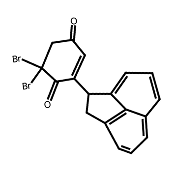 O=C1C=C(C2Cc3cccc4cccc2c34)C(=O)C(Br)(Br)C1